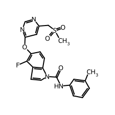 Cc1cccc(NC(=O)n2ccc3c(F)c(Oc4cc(CS(C)(=O)=O)ncn4)ccc32)c1